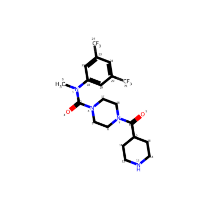 CN(C(=O)N1CCN(C(=O)C2CCNCC2)CC1)c1cc(C(F)(F)F)cc(C(F)(F)F)c1